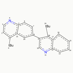 CC(C)(C)c1ccnc2ccc(-c3cnc4ccccc4c3C(C)(C)C)cc12